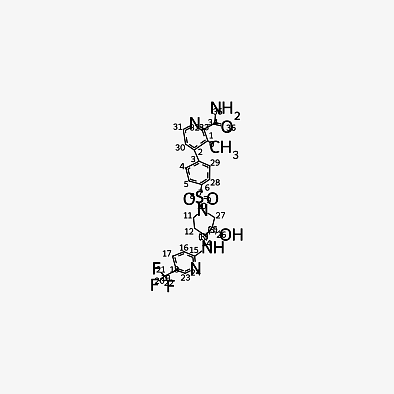 Cc1c(-c2ccc(S(=O)(=O)N3CC[C@@H](Nc4ccc(C(F)(F)F)cn4)[C@@H](O)C3)cc2)ccnc1C(N)=O